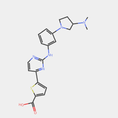 CN(C)C1CCN(c2cccc(Nc3nccc(-c4ccc(C(=O)O)s4)n3)c2)C1